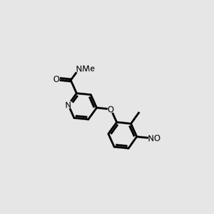 CNC(=O)c1cc(Oc2cccc(N=O)c2C)ccn1